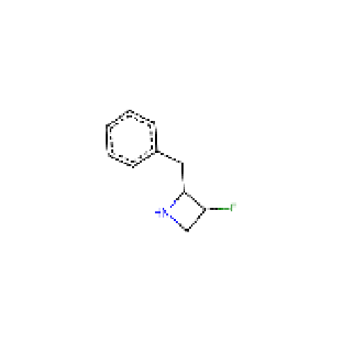 FC1CNC1Cc1ccccc1